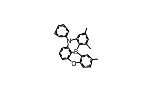 Cc1ccc2c(c1)B1c3c(C)cc(C)cc3N(c3ccccc3)c3cccc(c31)O2